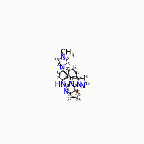 CN1CCN(c2ccc(Nc3nc(N4N=CCC4c4ccccc4)c4sccc4n3)cc2)CC1